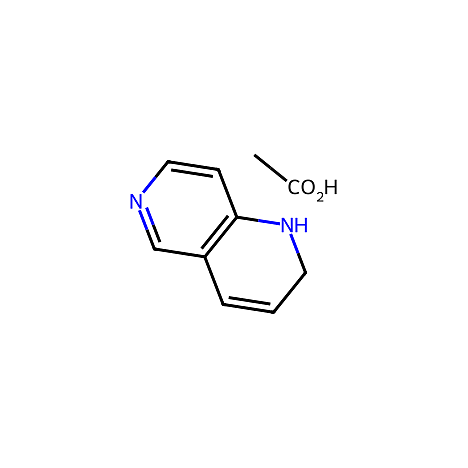 C1=Cc2cnccc2NC1.CC(=O)O